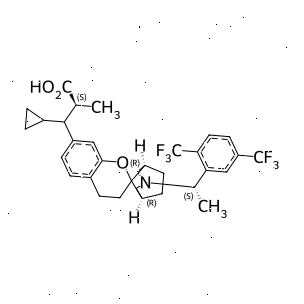 C[C@H](C(=O)O)C(c1ccc2c(c1)OC1(CC2)[C@@H]2CC[C@@H]1CN([C@@H](C)c1cc(C(F)(F)F)ccc1C(F)(F)F)C2)C1CC1